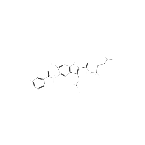 CCc1nc2[nH]c(C(=O)NC(C)CC[C@@H](O)CC)c(OCC(F)(F)F)c2cc1NC(=O)c1ccccc1